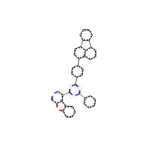 c1ccc(-c2nc(-c3ccc(-c4ccc5c6c(cccc46)-c4ccccc4-5)cc3)nc(-c3cncc4oc5ccccc5c34)n2)cc1